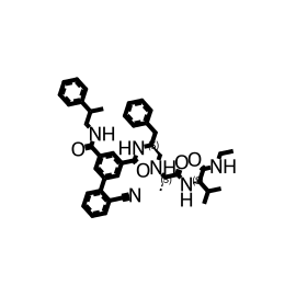 CCNC(=O)[C@@H](NC(=O)[C@H](C)NC[C@H](Cc1ccccc1)NC(=O)c1cc(C(=O)NCC(C)c2ccccc2)cc(-c2ccccc2C#N)c1)C(C)C